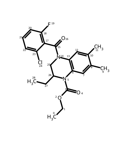 CCOC(=O)N1c2cc(C)c(C)cc2N(C(=O)c2c(F)cccc2Cl)CC1CC